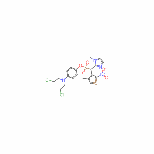 Cc1csc([N+](=O)[O-])c1C(c1nccn1C)S(=O)(=O)Oc1ccc(N(CCCl)CCCl)cc1